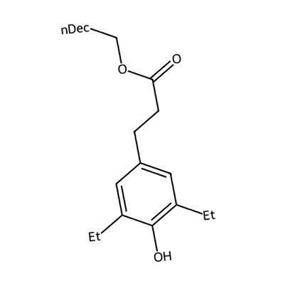 CCCCCCCCCCCOC(=O)CCc1cc(CC)c(O)c(CC)c1